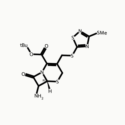 CSc1nsc(SCC2=C(C(=O)OC(C)(C)C)N3C(=O)C(N)[C@H]3SC2)n1